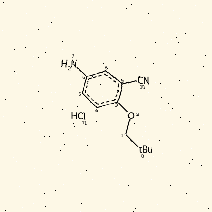 CC(C)(C)COc1ccc(N)cc1C#N.Cl